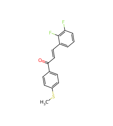 CSc1ccc(C(=O)/C=C/c2cccc(F)c2F)cc1